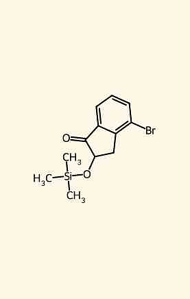 C[Si](C)(C)OC1Cc2c(Br)cccc2C1=O